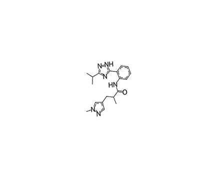 CC(Cc1cnn(C)c1)C(=O)Nc1ccccc1-c1nc(C(C)C)n[nH]1